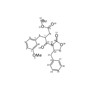 COc1cccc(CC(CC(=O)OC(C)(C)C)C(=O)N2C(=O)OCC2Cc2ccccc2)c1